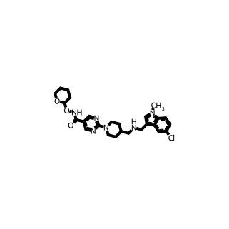 Cn1cc(CNCC2CCN(c3ncc(C(=O)NOC4CCCCO4)cn3)CC2)c2cc(Cl)ccc21